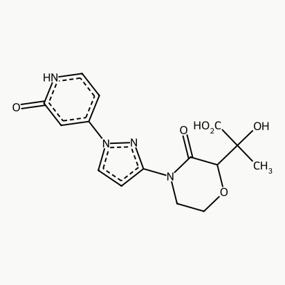 CC(O)(C(=O)O)C1OCCN(c2ccn(-c3cc[nH]c(=O)c3)n2)C1=O